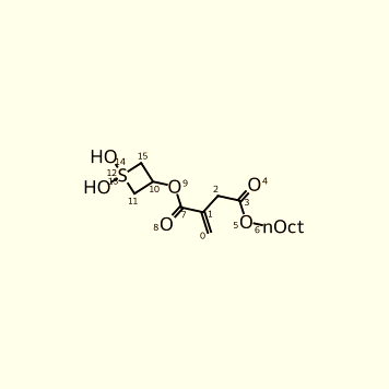 C=C(CC(=O)OCCCCCCCC)C(=O)OC1CS(O)(O)C1